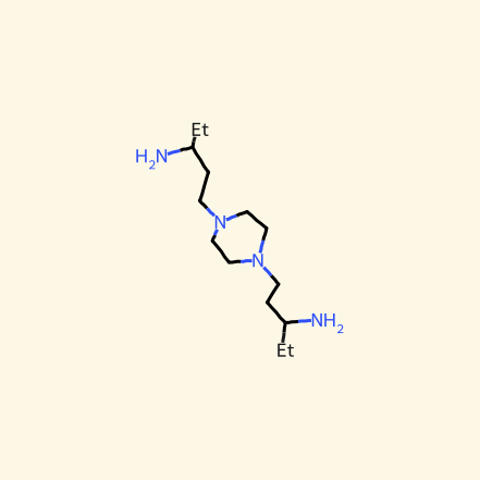 CCC(N)CCN1CCN(CCC(N)CC)CC1